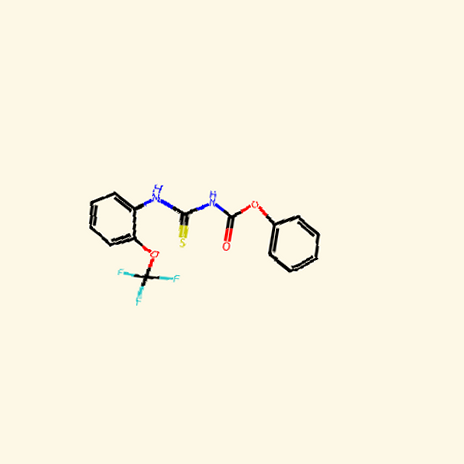 O=C(NC(=S)Nc1ccccc1OC(F)(F)F)Oc1ccccc1